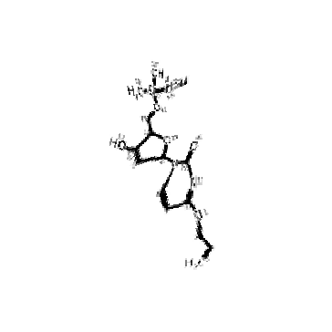 C=CCOc1ccn(C2CC(O)C(CO[Si](C)(C)C(C)(C)C)O2)c(=O)n1